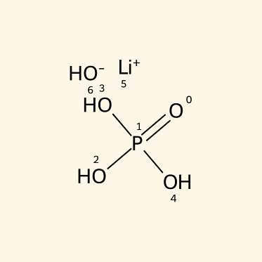 O=P(O)(O)O.[Li+].[OH-]